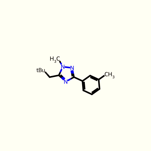 Cc1cccc(-c2nc(CC(C)(C)C)n(C)n2)c1